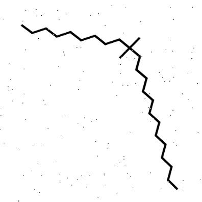 CCCCCCCCCCCC[CH]C(C)(C)CCCCCCCCC